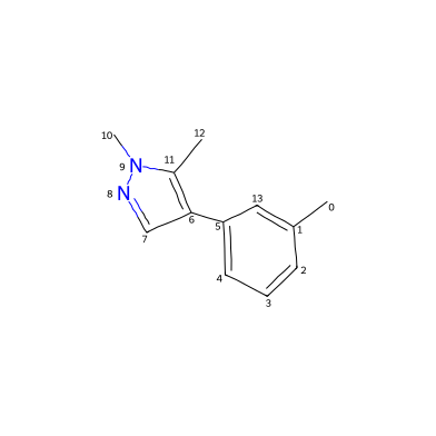 Cc1cccc(-c2cnn(C)c2C)c1